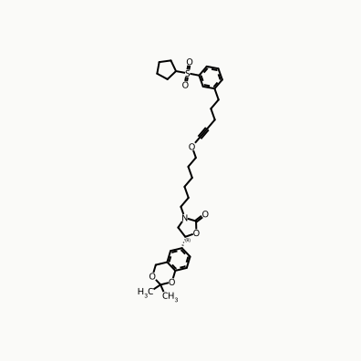 CC1(C)OCc2cc([C@@H]3CN(CCCCCCOC#CCCCc4cccc(S(=O)(=O)C5CCCC5)c4)C(=O)O3)ccc2O1